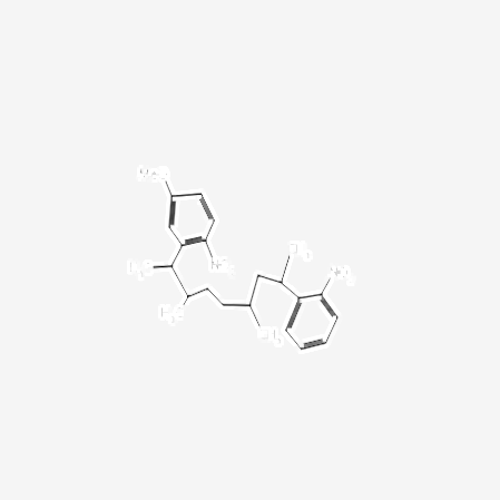 COc1ccc([N+](=O)[O-])c(C(C)C(C)CCC(C)CC(C)c2ccccc2[N+](=O)[O-])c1